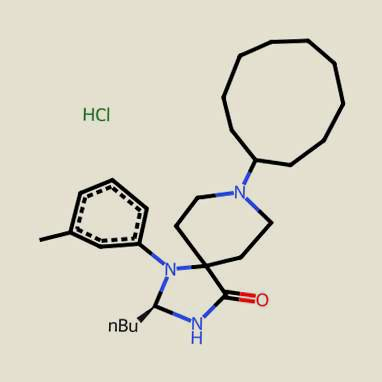 CCCC[C@@H]1NC(=O)C2(CCN(C3CCCCCCCCC3)CC2)N1c1cccc(C)c1.Cl